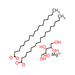 CCCCCCCCCCCCCCCCCC(=O)[O-].CCCCCCCCCCCCCCCCCC(=O)[O-].OCC(O)C(O)C(O)CO.[Mg+2]